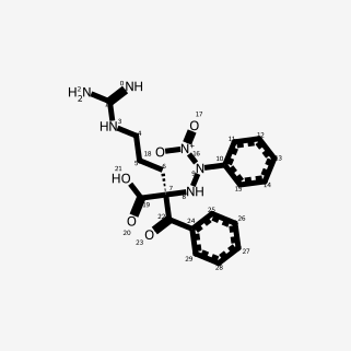 N=C(N)NCCC[C@@](NN(c1ccccc1)[N+](=O)[O-])(C(=O)O)C(=O)c1ccccc1